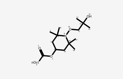 CCCCCCCCC(=O)OC1CC(C)(C)N(OCC(C)(C)O)C(C)(C)C1